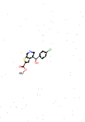 CC(C)(C)OC(=O)c1cc2c(C(O)c3ccc(Cl)cc3)cncc2s1